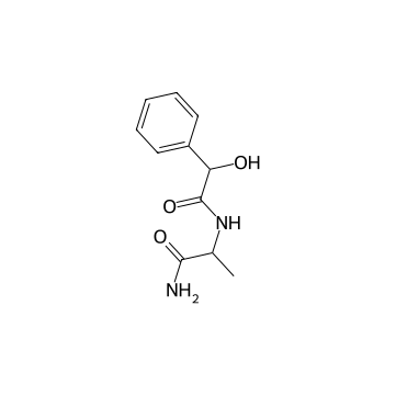 CC(NC(=O)C(O)c1ccccc1)C(N)=O